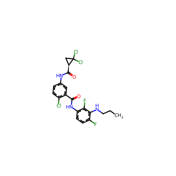 CCCNc1c(F)ccc(NC(=O)c2cc(NC(=O)[C@H]3CC3(Cl)Cl)ccc2Cl)c1F